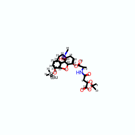 CC(NC(=O)CC1OC(C)(C)OC1=O)C(=O)OC1=CCC2(O)C3Cc4ccc(O[Si](C)(C)C(C)(C)C)c5c4C2(CCN3C)C1O5